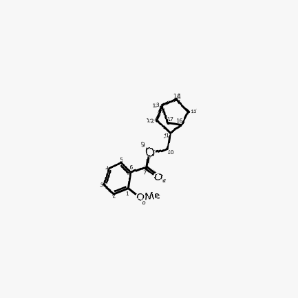 COc1ccccc1C(=O)OCC1CC2CCC1C2